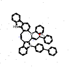 CC(/C=C1/c2c(c3ccccc3n2-c2ccc(-c3ccccc3)cc2)/C=C\c2c(ccc3c2[nH]c2ccccc23)N1c1ccccc1)c1ccccc1